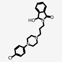 O=C1c2ccccc2C(O)N1CCCN1CCN(c2ccc(Cl)cc2)CC1